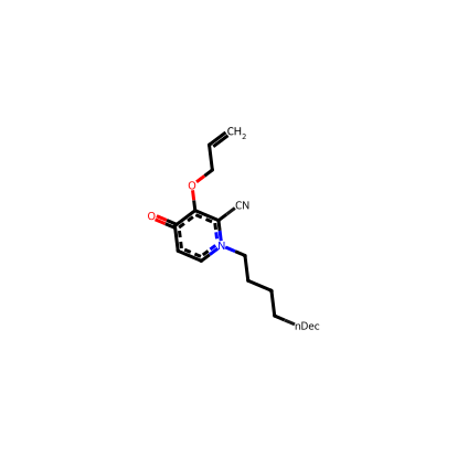 C=CCOc1c(C#N)n(CCCCCCCCCCCCCC)ccc1=O